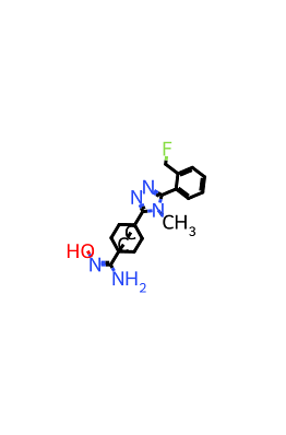 Cn1c(-c2ccccc2CF)nnc1C12CCC(/C(N)=N\O)(CC1)CC2